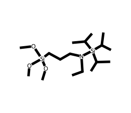 CCN(CCC[Si](OC)(OC)OC)[Si](C(C)C)(C(C)C)C(C)C